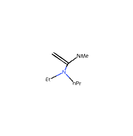 C=C(NC)N(CC)CCC